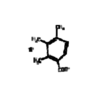 Cc1ccc(C(=O)[O-])c(C)c1C.[Tl+]